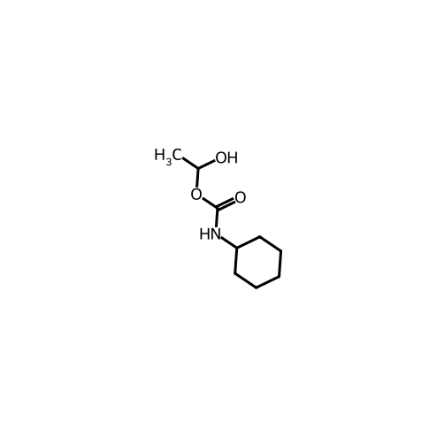 CC(O)OC(=O)NC1CCCCC1